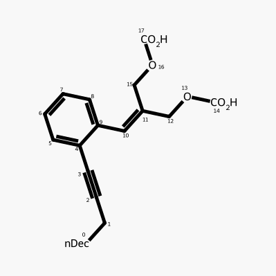 CCCCCCCCCCCC#Cc1ccccc1C=C(COC(=O)O)COC(=O)O